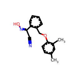 Cc1ccc(OCc2ccccc2/C(C#N)=N\O)c(C)c1